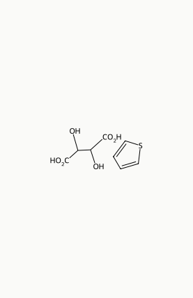 O=C(O)C(O)C(O)C(=O)O.c1ccsc1